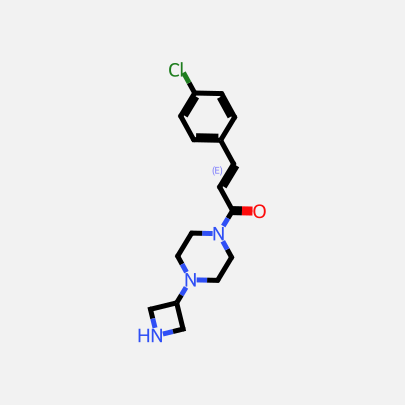 O=C(/C=C/c1ccc(Cl)cc1)N1CCN(C2CNC2)CC1